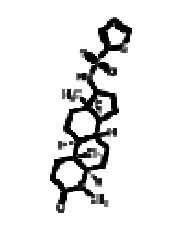 CN1C(=O)CC[C@]2(C)[C@H]3CC[C@]4(C)C(NS(=O)(=O)c5cccs5)CC[C@H]4[C@@H]3CC[C@@H]12